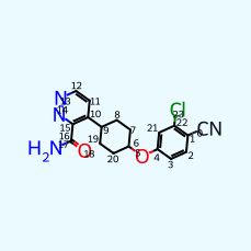 N#Cc1ccc(OC2CCC(c3ccnnc3C(N)=O)CC2)cc1Cl